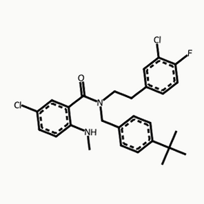 CNc1ccc(Cl)cc1C(=O)N(CCc1ccc(F)c(Cl)c1)Cc1ccc(C(C)(C)C)cc1